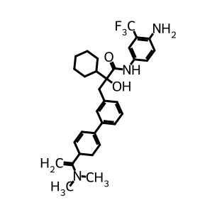 C=C(C1C=CC(c2cccc(CC(O)(C(=O)Nc3ccc(N)c(C(F)(F)F)c3)C3CCCCC3)c2)=CC1)N(C)C